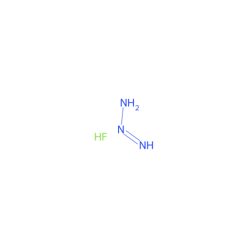 F.N=NN